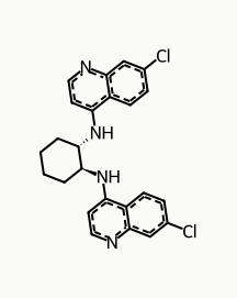 Clc1ccc2c(N[C@H]3CCCC[C@@H]3Nc3ccnc4cc(Cl)ccc34)ccnc2c1